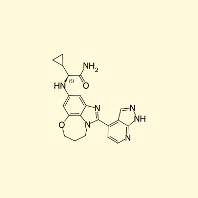 NC(=O)[C@@H](Nc1cc2c3c(c1)nc(-c1ccnc4[nH]ncc14)n3CCCO2)C1CC1